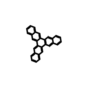 [c]1c2ccccc2[c]c2c1c1cc3ccccc3cc1c1cc3ccccc3cc21